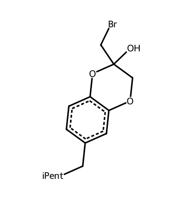 CCCC(C)Cc1ccc2c(c1)OCC(O)(CBr)O2